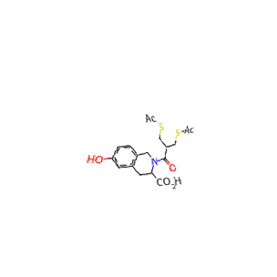 CC(=O)SCC(CSC(C)=O)C(=O)N1Cc2ccc(O)cc2CC1C(=O)O